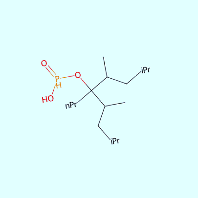 CCCC(O[PH](=O)O)(C(C)CC(C)C)C(C)CC(C)C